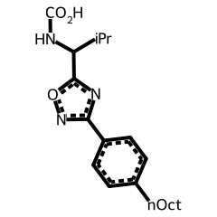 CCCCCCCCc1ccc(-c2noc(C(NC(=O)O)C(C)C)n2)cc1